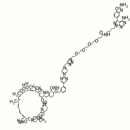 CO[C@H]1C[C@@H]2CC[C@@H](C)[C@@](O)(O2)C(=O)C(=O)N2CCCC[C@H]2C(=O)O[C@H]([C@H](N)C[C@@H]2CC[C@@H](OCc3cccc(-c4cnc(N5CCN(Cc6cn(CCOCCOCCOCCOCCC(=O)NCCCCn7nc(-c8ccc9oc(N)nc9c8)c8c(N)ncnc87)nn6)CC5)nc4)c3)[C@H](OC)C2)CC(=O)[C@H](C)/C=C(\C)[C@@H](O)[C@@H](O)C(=O)[C@H](C)C[C@H](C)/C=C/C=C/C=C/1C